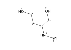 CCCNC([CH]CO)CO